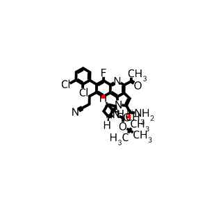 CC(=O)c1nc2c(F)c(-c3cccc(Cl)c3Cl)c(CCC#N)cc2c2c1cc([C@@H](C)N)n2[C@H]1[C@@H]2C[C@H]1N(C(=O)OC(C)(C)C)C2